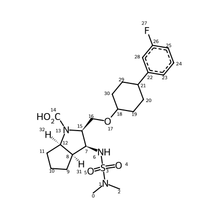 CN(C)S(=O)(=O)N[C@H]1[C@H]2CCC[C@H]2N(C(=O)O)[C@H]1COC1CCC(c2cccc(F)c2)CC1